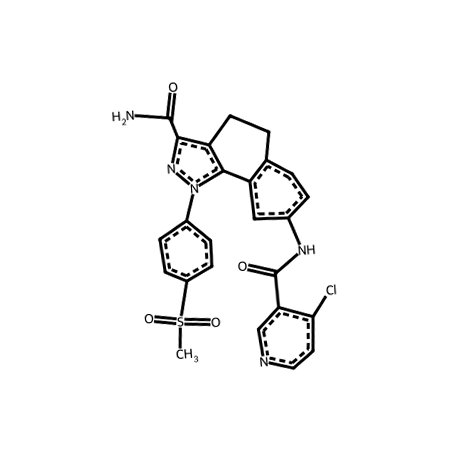 CS(=O)(=O)c1ccc(-n2nc(C(N)=O)c3c2-c2cc(NC(=O)c4cnccc4Cl)ccc2CC3)cc1